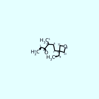 C=CC(=O)C(C)CCC1(CC)COC1